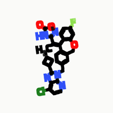 CC(=C1c2ccc(Cn3c(C4CCC4)nc4c(Cl)ccnc43)cc2COc2cc(F)ccc21)c1noc(=O)[nH]1